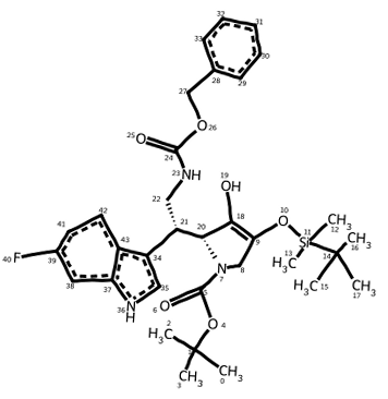 CC(C)(C)OC(=O)N1CC(O[Si](C)(C)C(C)(C)C)=C(O)[C@H]1[C@@H](CNC(=O)OCc1ccccc1)c1c[nH]c2cc(F)ccc12